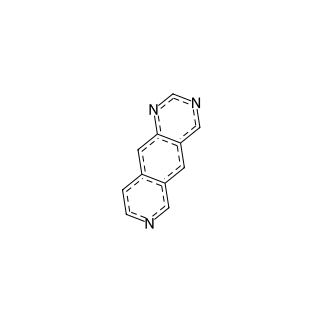 c1cc2cc3ncncc3cc2cn1